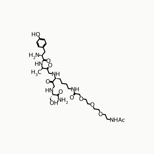 CC(=O)NCCOCCOCCOCC(=O)NCCCC[C@H](NCC(=O)C(C)NC(=O)[C@@H](N)Cc1ccc(O)cc1)C(=O)CN[C@@H](CO)C(N)=O